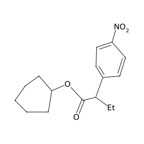 CCC(C(=O)OC1CCCCC1)c1ccc([N+](=O)[O-])cc1